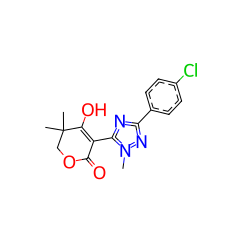 Cn1nc(-c2ccc(Cl)cc2)nc1C1=C(O)C(C)(C)COC1=O